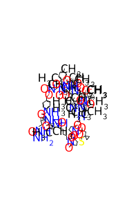 CC[C@H](C)C([C@@H](CC(=O)N1C[C@@H](OC(=O)N(C)CCN(C)C(=O)OCc2ccc(NC(=O)[C@H](CCCNC(N)=O)NC(=O)[C@@H](NC(=O)CCCCCN3C(=O)CC(SCC4(CC(=O)ON5C(=O)CCC5=O)CC4)C3=O)C(C)C)cc2)C[C@H]1[C@H](OC)[C@@H](C)C(=O)NCC(=O)c1ccc(C)cc1C)OC)N(C)C(=O)[C@@H](NC(=O)[C@H](C(C)C)N(C)C)C(C)C